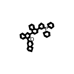 c1ccc(P(c2ccccc2)c2cccc(-c3ccc(-c4cc5ccccc5c5c4oc4cc6ccccc6cc45)c4ccccc34)c2)cc1